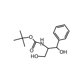 CC(C)(C)OC(=O)NC(CO)C(O)c1ccccc1